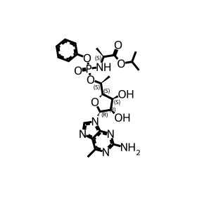 Cc1nc(N)nc2c1ncn2[C@@H]1O[C@H]([C@H](C)OP(=O)(N[C@@H](C)C(=O)OC(C)C)Oc2ccccc2)[C@@H](O)[C@H]1O